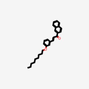 CCCCCCCCCOc1cccc(C=CC(=O)c2ccc3ccccc3c2)c1